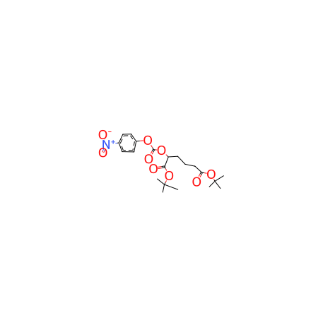 CC(C)(C)OC(=O)CCCC(OC(=O)Oc1ccc([N+](=O)[O-])cc1)C(=O)OC(C)(C)C